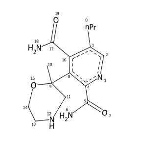 CCCc1cnc(C(N)=O)c(C2(C)CNCCO2)c1C(N)=O